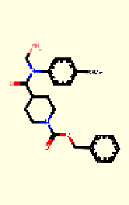 BCN(C(=O)C1CCN(C(=O)OCc2ccccc2)CC1)c1ccc(OC)cc1